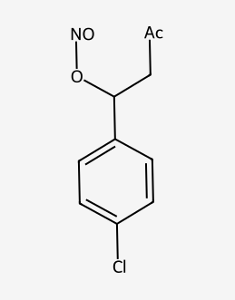 CC(=O)CC(ON=O)c1ccc(Cl)cc1